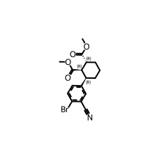 COC(=O)[C@H]1[C@H](C(=O)OC)CCC[C@H]1c1ccc(Br)c(C#N)c1